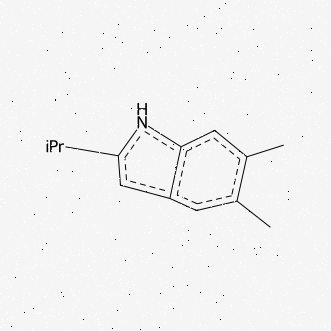 Cc1cc2cc(C(C)C)[nH]c2cc1C